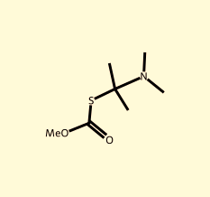 COC(=O)SC(C)(C)N(C)C